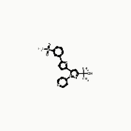 CC(C)(O)c1cc(-c2ccc(-c3cccc(S(C)(=O)=O)c3)s2)n(-c2ccncc2)n1